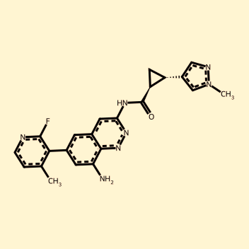 Cc1ccnc(F)c1-c1cc(N)c2nnc(NC(=O)[C@H]3C[C@@H]3c3cnn(C)c3)cc2c1